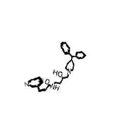 O=C(/C=C\c1cccnc1)NCCC(O)CN1CCC(C(c2ccccc2)c2ccccc2)CC1